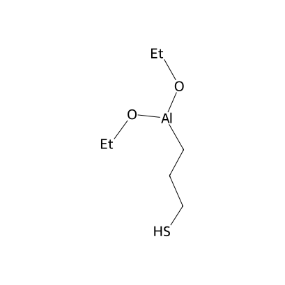 CC[O][Al]([CH2]CCS)[O]CC